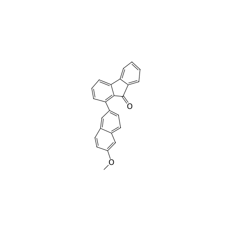 COc1ccc2cc(-c3cccc4c3C(=O)c3ccccc3-4)ccc2c1